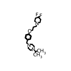 CC(C)N1CCN(Cc2ccc(OCCCN3CCC(F)(F)CC3)cc2)CC1